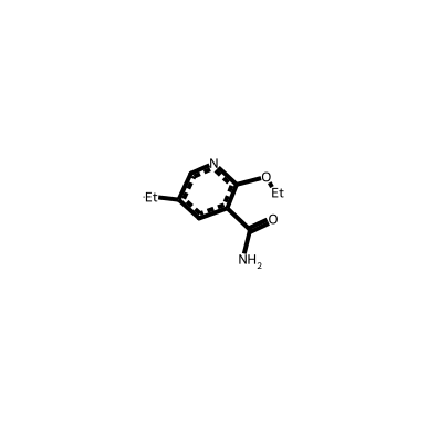 C[CH]c1cnc(OCC)c(C(N)=O)c1